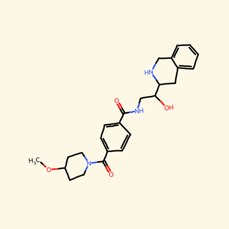 COC1CCN(C(=O)c2ccc(C(=O)NCC(O)C3Cc4ccccc4CN3)cc2)CC1